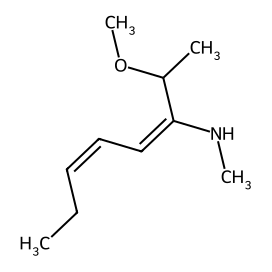 CC/C=C\C=C(\NC)C(C)OC